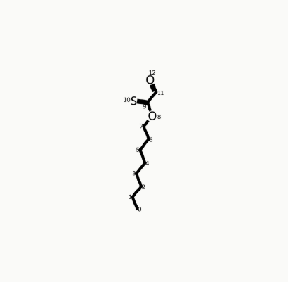 CCCCCCCCOC(=S)C=O